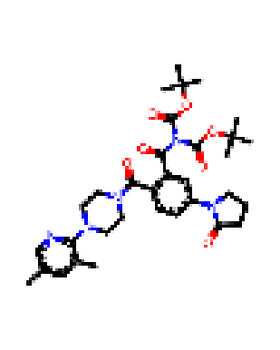 Cc1cnc(N2CCN(C(=O)c3ccc(N4CCCC4=O)cc3C(=O)N(C(=O)OC(C)(C)C)C(=O)OC(C)(C)C)CC2)c(C)c1